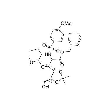 COc1ccc(S(=O)(=O)NC(C(=O)OCc2ccccc2)[C@H](OC2CCCCO2)[C@@H]2OC(C)(C)O[C@H]2CO)cc1